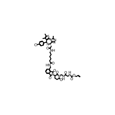 C=CCOC(=O)NCC(=O)NCN1C(=O)CCC(N2C(=O)c3cccc(CNC(=O)CCCCCNC(=O)C[C@@H]4N=C(c5ccc(Cl)cc5)c5c(sc(C)c5C)-n5c(C)nnc54)c3C2=O)C1=O